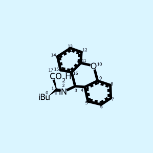 CC[C@H](C)[C@H](NC1c2ccccc2Oc2ccccc21)C(=O)O